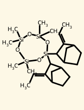 CC=C1C2CCC(C2)C1[Si]1(C2C(=CC)C3CCC2C3)O[Si](C)(C)O[Si](C)(C)O[Si](C)(C)O1